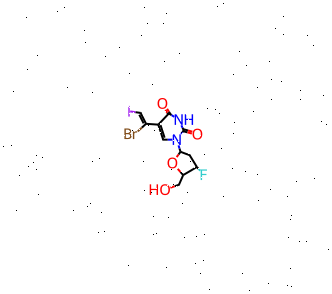 O=c1[nH]c(=O)n(C2CC(F)C(CO)O2)cc1C(Br)=CI